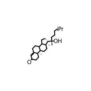 CC(C)CCC[C@](C)(O)[C@H]1CCC2C3CCC4=CC(=O)CC[C@]4(C)C3CC[C@@]21C